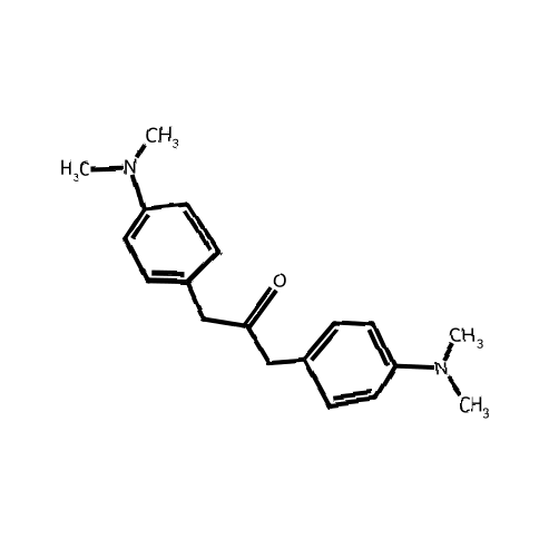 CN(C)c1ccc(CC(=O)Cc2ccc(N(C)C)cc2)cc1